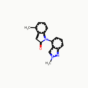 Cc1cccc2c1=CC(=O)[N+]=2c1cccc2nn(C)cc12